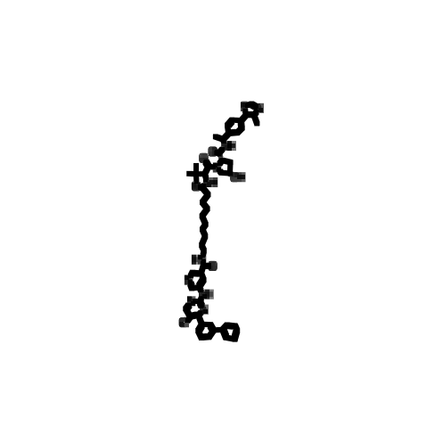 Cc1ncsc1-c1ccc(C(C)NC(=O)[C@@H]2C[C@@H](O)CN2C(=O)C(NC(=O)CCCCCCCCCNC(=O)c2cncc(Nc3ncc(Cl)c(-c4cccc(-c5ccccc5)c4)n3)c2)C(C)(C)C)cc1